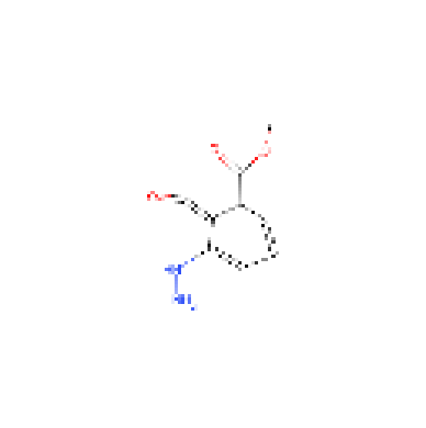 COC(=O)C1C=CC=C(NN)C1=C=O